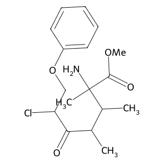 COC(=O)C(C)(N)C(C)C(C)C(=O)C(Cl)COc1ccccc1